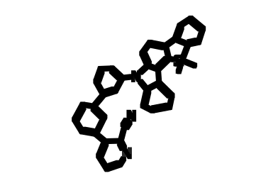 C[Si]1(C)c2ccccc2-c2ccc3c(c21)c1ccccc1n3-c1cccc(-c2cccc(-c3cccnc3C#N)c2)c1